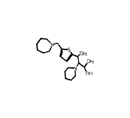 OC(O)C(C(O)c1ccc(CN2CCCCCC2)s1)N1CCCCC1